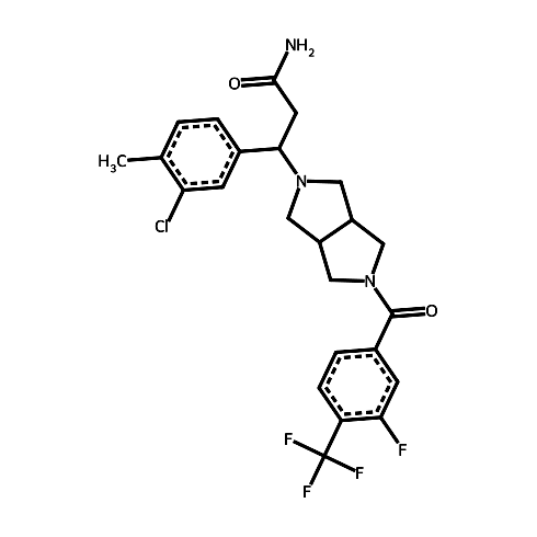 Cc1ccc(C(CC(N)=O)N2CC3CN(C(=O)c4ccc(C(F)(F)F)c(F)c4)CC3C2)cc1Cl